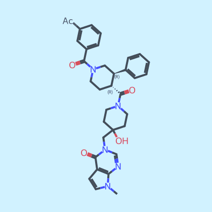 CC(=O)c1cccc(C(=O)N2CC[C@@H](C(=O)N3CCC(O)(Cn4cnc5c(ccn5C)c4=O)CC3)[C@H](c3ccccc3)C2)c1